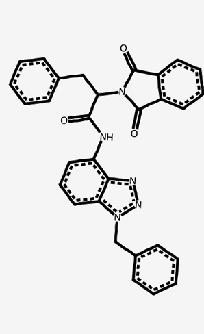 O=C(Nc1cccc2c1nnn2Cc1ccccc1)C(Cc1ccccc1)N1C(=O)c2ccccc2C1=O